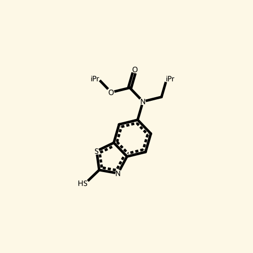 CC(C)CN(C(=O)OC(C)C)c1ccc2nc(S)sc2c1